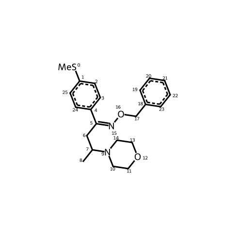 CSc1ccc(C(CC(C)N2CCOCC2)=NOCc2ccccc2)cc1